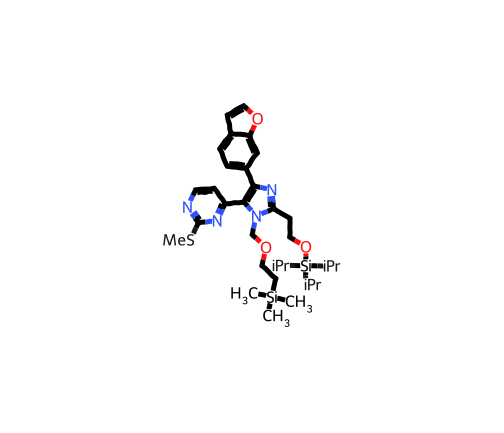 CSc1nccc(-c2c(-c3ccc4ccoc4c3)nc(CCO[Si](C(C)C)(C(C)C)C(C)C)n2COCC[Si](C)(C)C)n1